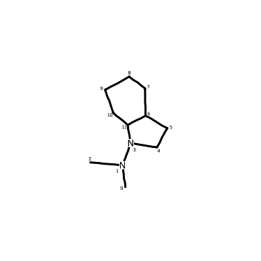 CN(C)N1CCC2CCCCC21